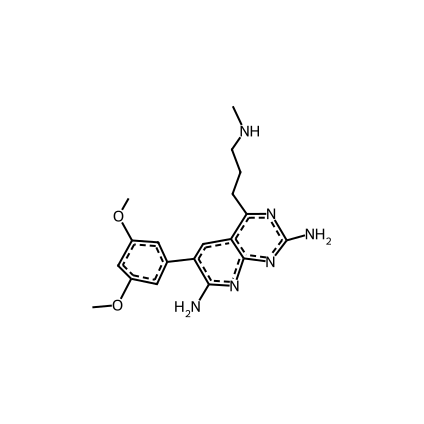 CNCCCc1nc(N)nc2nc(N)c(-c3cc(OC)cc(OC)c3)cc12